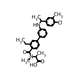 CCc1cc(-c2cccc(NC(C)c3ccc(Cl)c(C)c3)c2)ccc1C(=O)N(C)C(C)C(=O)O